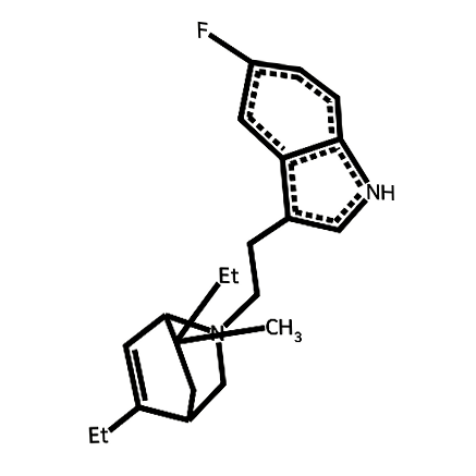 CCC1=CC2N(CCc3c[nH]c4ccc(F)cc34)CC1CC2(C)CC